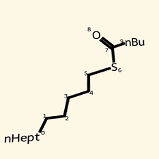 CCCCCCCCCCCCSC(=O)CCCC